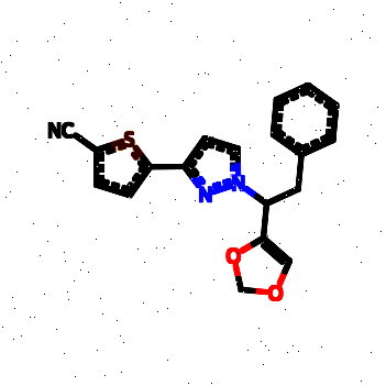 N#Cc1ccc(-c2ccn(C(Cc3ccccc3)C3=COCO3)n2)s1